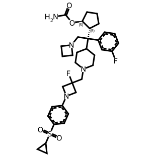 NC(=O)O[C@H]1CCC[C@@H]1C(CN1CCC1)(c1cccc(F)c1)C1CCN(CC2(F)CN(c3ccc(S(=O)(=O)C4CC4)cc3)C2)CC1